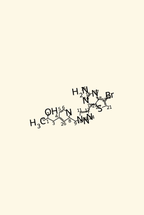 CC(O)Cc1ccnc(Cn2cc(-c3nc(N)nc4c(Br)csc34)nn2)c1